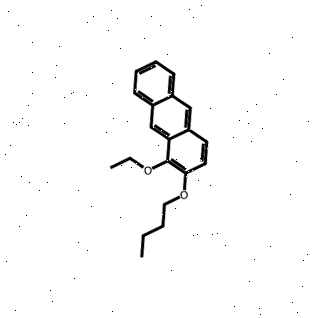 CCCCOc1ccc2cc3ccccc3cc2c1OCC